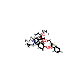 CO[C@]12CC[C@@]3(C[C@@H]1COCc1cc4ccccc4s1)[C@H]1Cc4ccc(O)c5c4[C@@]3(CC[N@+]1(C)CC1CC1)[C@H]2O5